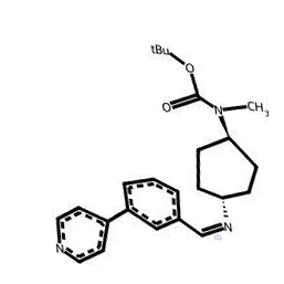 CN(C(=O)OC(C)(C)C)[C@H]1CC[C@H](/N=C\c2cccc(-c3ccncc3)c2)CC1